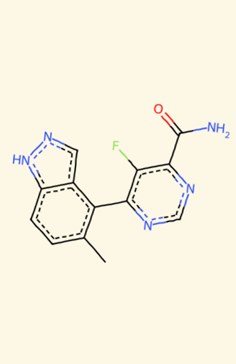 Cc1ccc2[nH]ncc2c1-c1ncnc(C(N)=O)c1F